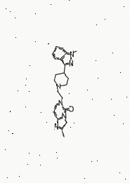 Cc1cn2c(=O)n(CCN3CCC(c4nn(C)c5ccccc45)CC3)ccc2n1